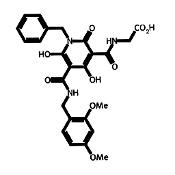 COc1ccc(CNC(=O)c2c(O)c(C(=O)NCC(=O)O)c(=O)n(Cc3ccccc3)c2O)c(OC)c1